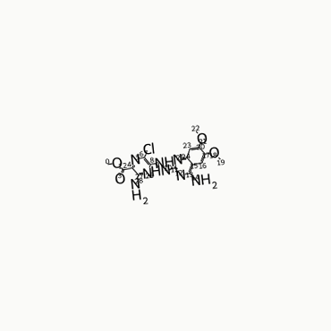 COC(=O)c1nc(Cl)c(NNc2nc(N)c3cc(OC)c(OC)cc3n2)nc1N